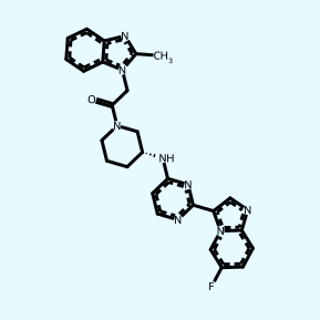 Cc1nc2ccccc2n1CC(=O)N1CCC[C@@H](Nc2ccnc(-c3cnc4ccc(F)cn34)n2)C1